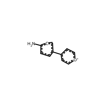 Nc1ccc(-c2cc[o+]cc2)cc1